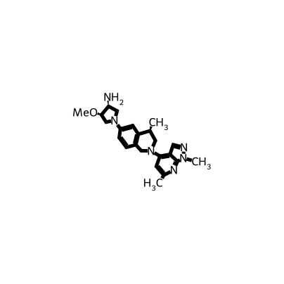 CO[C@@H]1CN(c2ccc3c(c2)[C@@H](C)CN(c2cc(C)nc4c2cnn4C)C3)C[C@H]1N